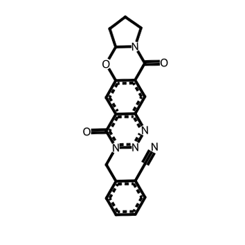 N#Cc1ccccc1Cn1nnc2cc3c(cc2c1=O)OC1CCCN1C3=O